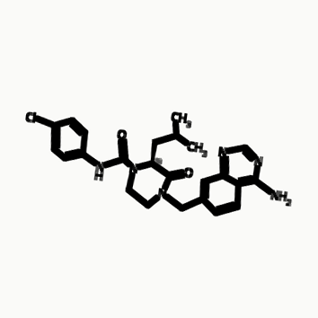 CC(C)C[C@H]1C(=O)N(Cc2ccc3c(N)ncnc3c2)CCN1C(=O)Nc1ccc(Cl)cc1